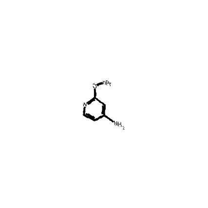 CCCOc1cc(N)ccn1